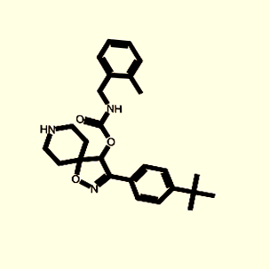 Cc1ccccc1CNC(=O)OC1C(c2ccc(C(C)(C)C)cc2)=NOC12CCNCC2